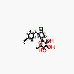 C#Cc1ccc(Cc2cc(C3OC(C)C(O)C(O)C3O)ccc2Cl)cc1